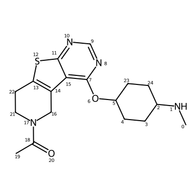 CNC1CCC(Oc2ncnc3sc4c(c23)CN(C(C)=O)CC4)CC1